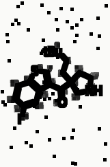 CC(C)(C)CCC1(C(=O)c2csc3ccc(F)cc23)CCNC1